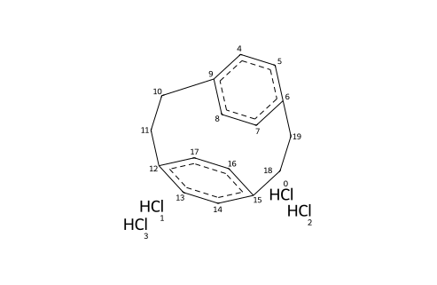 Cl.Cl.Cl.Cl.c1cc2ccc1CCc1ccc(cc1)CC2